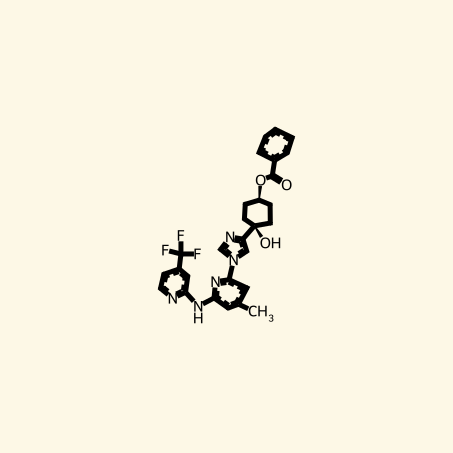 Cc1cc(Nc2cc(C(F)(F)F)ccn2)nc(-n2cnc([C@]3(O)CC[C@@H](OC(=O)c4ccccc4)CC3)c2)c1